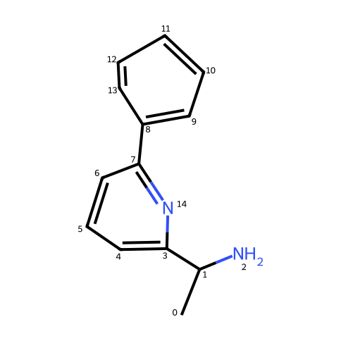 CC(N)c1cccc(-c2ccccc2)n1